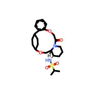 CC(C)S(=O)(=O)N[C@H]1CCCN2C(=O)COc3ccccc3C3CCC(CC3)OC[C@@H]12